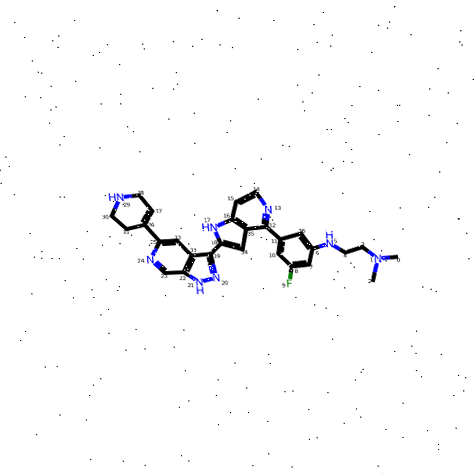 CN(C)CCNc1cc(F)cc(-c2nccc3[nH]c(-c4n[nH]c5cnc(C6=CCNCC6)cc45)cc23)c1